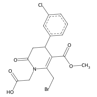 COC(=O)C1=C(CBr)N(CC(=O)O)C(=O)CC1c1cccc(Cl)c1